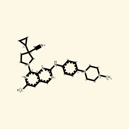 Cc1cc2cnc(Nc3ccc(N4CCN(C)CC4)cc3)nc2c(N2CCC(C#N)(C3CC3)C2)n1